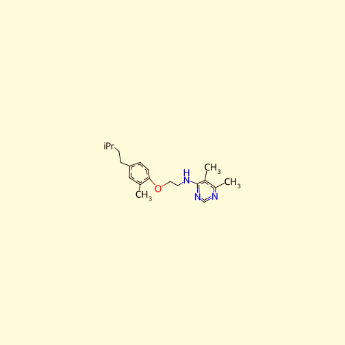 Cc1cc(CCC(C)C)ccc1OCCNc1ncnc(C)c1C